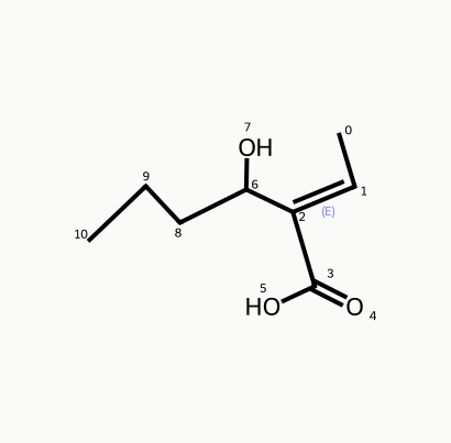 C/C=C(/C(=O)O)C(O)CCC